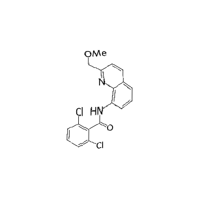 COCc1ccc2cccc(NC(=O)c3c(Cl)cccc3Cl)c2n1